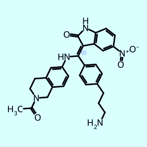 CC(=O)N1CCc2cc(N/C(=C3\C(=O)Nc4ccc([N+](=O)[O-])cc43)c3ccc(CCCN)cc3)ccc2C1